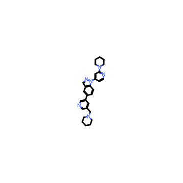 c1cc(-n2ncc3cc(-c4cncc(CN5CCCCC5)c4)ccc32)cc(N2CCCCC2)n1